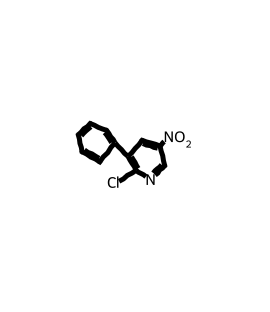 O=[N+]([O-])c1cnc(Cl)c(-c2ccccc2)c1